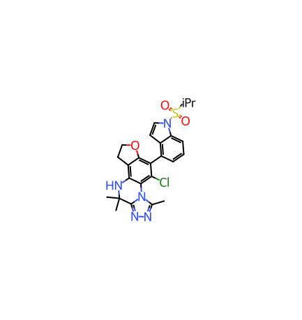 Cc1nnc2n1-c1c(Cl)c(-c3cccc4c3ccn4S(=O)(=O)C(C)C)c3c(c1NC2(C)C)CCO3